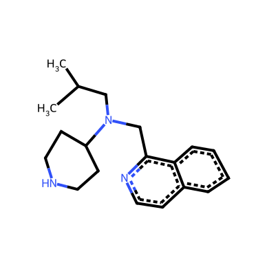 CC(C)CN(Cc1nccc2ccccc12)C1CCNCC1